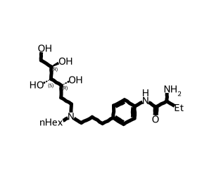 CCCCCCN(CCCc1ccc(NC(=O)C(N)CC)cc1)CC[C@@H](O)[C@H](O)[C@H](O)CO